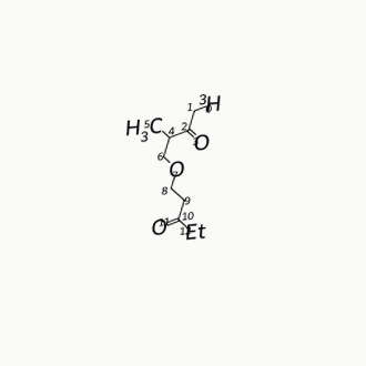 [3H]CC(=O)C(C)COCCC(=O)CC